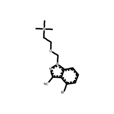 C[Si](C)(C)CCOCn1nc(C#N)c2c(Br)cccc21